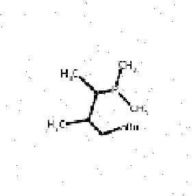 CCCCCC(C)C(C)P(C)C